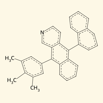 Cc1cc(-c2c3ccccc3c(-c3cccc4ccccc34)c3ccncc23)cc(C)c1C